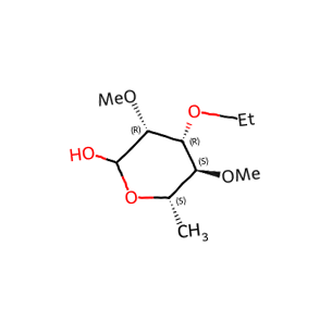 CCO[C@@H]1[C@@H](OC)[C@H](C)OC(O)[C@@H]1OC